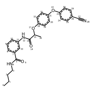 CCCCNC(=O)c1cccc(NC(=O)C(C)Oc2ccc(Oc3ccc(C#N)cc3)cc2)c1